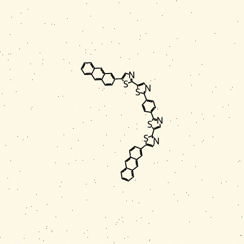 c1ccc2cc3cc(-c4cnc(-c5cnc(-c6ccc(-c7ncc(-c8ncc(-c9ccc%10cc%11ccccc%11cc%10c9)s8)s7)cc6)s5)s4)ccc3cc2c1